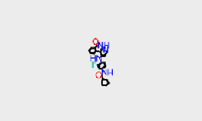 O=C(Nc1ccc(Nc2ccnc3[nH]c(=O)c4ccccc4c23)c(F)c1)c1ccccc1